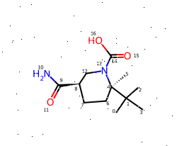 CC(C)(C)[C@@]1(C)CC[C@@H](C(N)=O)CN1C(=O)O